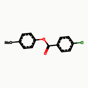 COc1ccc(OC(=O)c2ccc(Cl)cc2)cc1